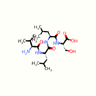 CC(C)C[C@H](NC(=O)[C@H](CC(C)C)NC(=O)[C@@H](N)C(C)C)C(=O)N[C@@H](CO)C(=O)O